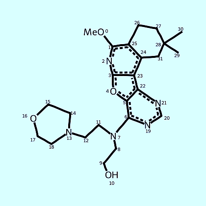 COc1nc2oc3c(N(CCO)CCN4CCOCC4)ncnc3c2c2c1CCC(C)(C)C2